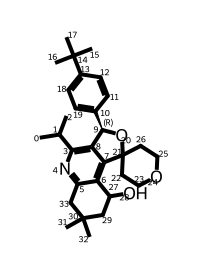 CC(C)c1nc2c(c3c1[C@@H](c1ccc(C(C)(C)C)cc1)OC31CCOCC1)C(O)CC(C)(C)C2